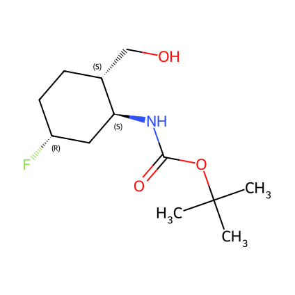 CC(C)(C)OC(=O)N[C@H]1C[C@H](F)CC[C@@H]1CO